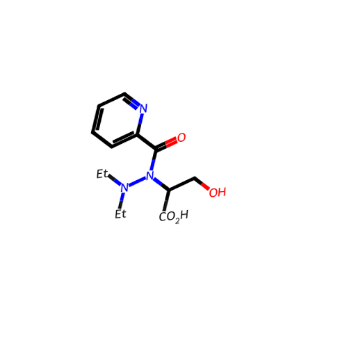 CCN(CC)N(C(=O)c1ccccn1)C(CO)C(=O)O